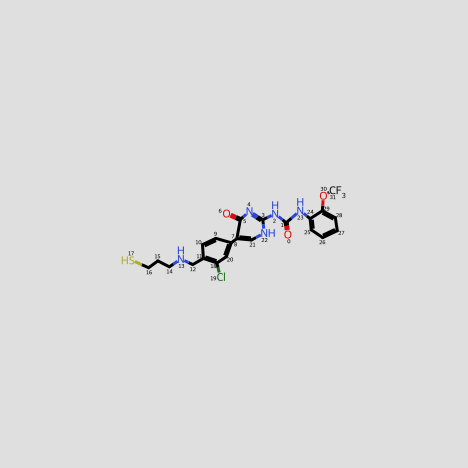 O=C(Nc1nc(=O)c(-c2ccc(CNCCCS)c(Cl)c2)c[nH]1)Nc1ccccc1OC(F)(F)F